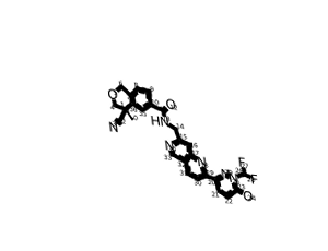 C[C@@]1(C#N)COCc2ccc(C(=O)NCc3cc4nc(-c5ccc(=O)n(C(F)F)n5)ccc4cn3)cc21